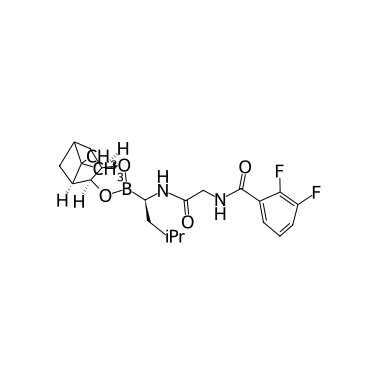 CC(C)C[C@H](NC(=O)CNC(=O)c1cccc(F)c1F)B1O[C@H]2[C@H]3CC(C[C@H]2O1)C3(C)C